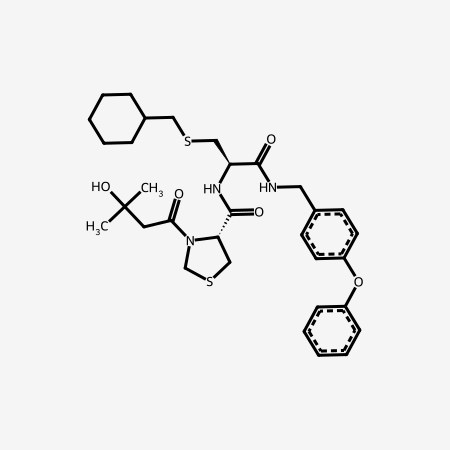 CC(C)(O)CC(=O)N1CSC[C@H]1C(=O)N[C@@H](CSCC1CCCCC1)C(=O)NCc1ccc(Oc2ccccc2)cc1